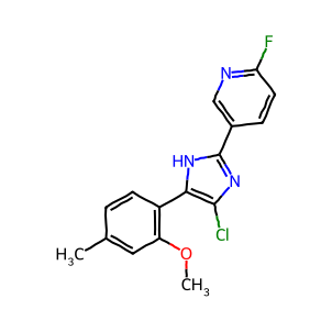 COc1cc(C)ccc1-c1[nH]c(-c2ccc(F)nc2)nc1Cl